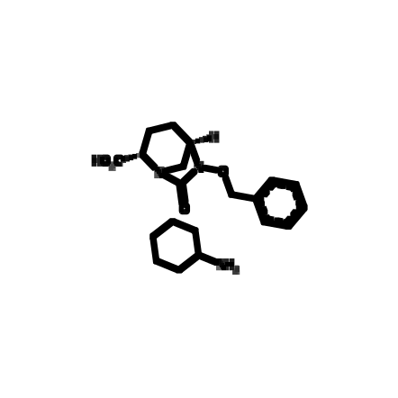 NC1CCCCC1.O=C(O)[C@@H]1CC[C@@H]2CN1C(=O)N2OCc1ccccc1